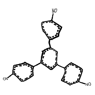 O=Nc1ccc(-c2cc(-c3ccc(N=O)cc3)cc(-c3ccc(N=O)cc3)c2)cc1